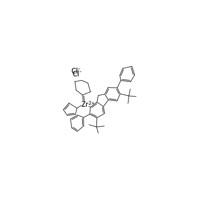 CC(C)(C)c1cc2c(cc1-c1ccccc1)Cc1c-2cc(C(C)(C)C)c(-c2ccccc2)[c]1[Zr+2](=[C]1CCCCC1)[CH]1C=CC=C1.[Cl-].[Cl-]